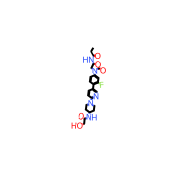 CCC(=O)NC1CN(c2ccc(-c3ccc(N4CCC(NC(=O)CO)CC4)nc3)c(F)c2)C(=O)O1